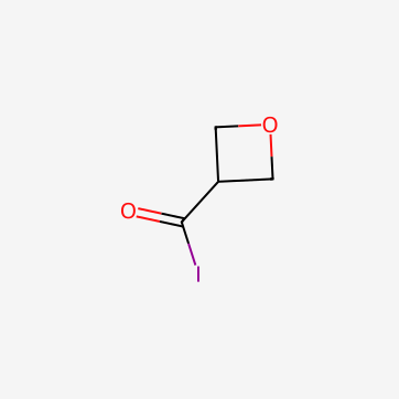 O=C(I)C1COC1